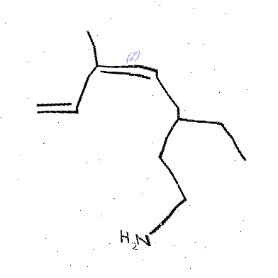 C=C/C(C)=C\C(CC)CCN